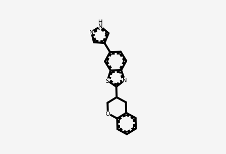 c1ccc2c(c1)CC(c1nc3ccc(-c4cn[nH]c4)cc3s1)CO2